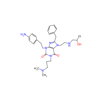 CCC(O)CNCCn1c(Cc2ccccc2)nc2c1c(=O)n(CCCN(C)C)c(=O)n2CCc1ccc(N)cc1